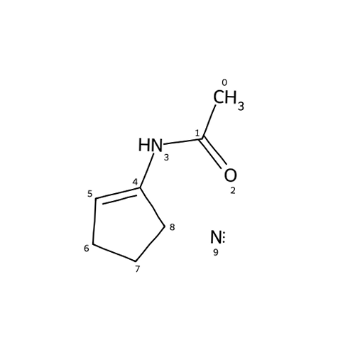 CC(=O)NC1=CCCC1.[N]